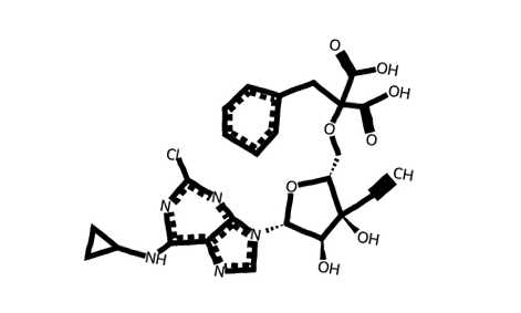 C#C[C@@]1(O)[C@@H](COC(Cc2ccccc2)(C(=O)O)C(=O)O)O[C@@H](n2cnc3c(NC4CC4)nc(Cl)nc32)[C@@H]1O